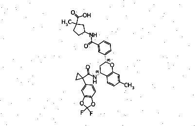 Cc1ccc2c(c1)O[C@@H](c1cccc(C(=O)NC3CCC(C)(C(=O)O)C3)c1)C[C@H]2NC(=O)C1(c2ccc3c(c2)OC(F)(F)O3)CC1